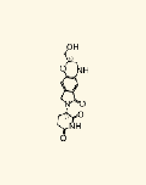 O=C1CC[C@H](N2Cc3cc4c(cc3C2=O)NC[C@H](CO)O4)C(=O)N1